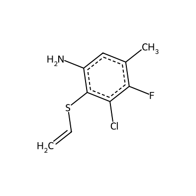 C=CSc1c(N)cc(C)c(F)c1Cl